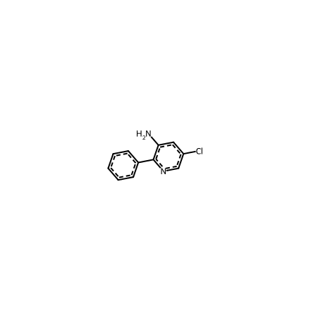 Nc1cc(Cl)cnc1-c1ccccc1